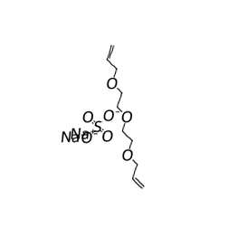 C=CCOCCOCCOCC=C.O=S(=O)([O-])[O-].[Na+].[Na+]